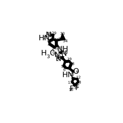 Cn1nc(-c2ccc(C(=O)NC3CCC(F)(F)C3)cc2)nc1Nc1ccc2[nH]ncc2c1C1CC1